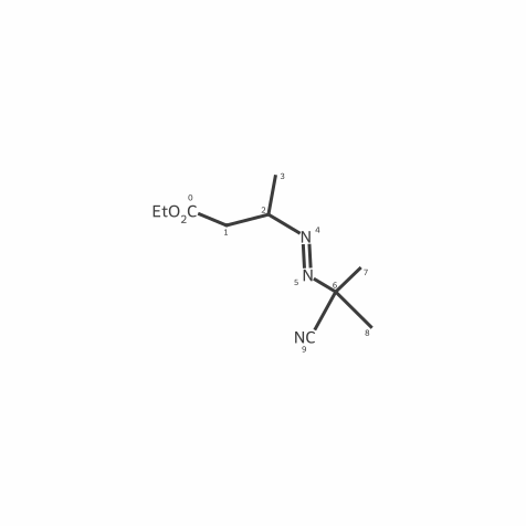 CCOC(=O)CC(C)/N=N/C(C)(C)C#N